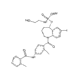 COP(=O)(NCCO)OC1CCCN(C(=O)c2ccc(NC(=O)c3ccccc3C)cc2C)c2ccc(I)cc21